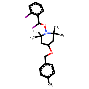 Cc1ccc(COC2CC(C)(C)N(OC(I)c3ccccc3I)C(C)(C)C2)cc1